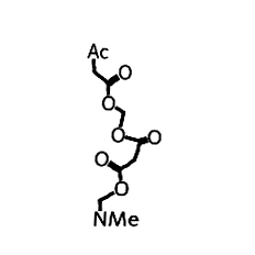 CNCOC(=O)CC(=O)OCOC(=O)CC(C)=O